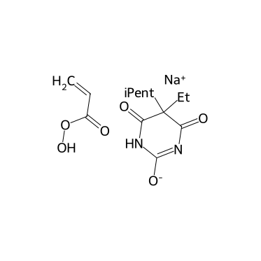 C=CC(=O)OO.CCCC(C)C1(CC)C(=O)N=C([O-])NC1=O.[Na+]